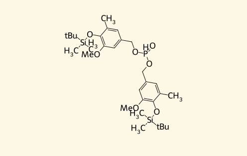 COc1cc(CO[PH](=O)OCc2cc(C)c(O[Si](C)(C)C(C)(C)C)c(OC)c2)cc(C)c1O[Si](C)(C)C(C)(C)C